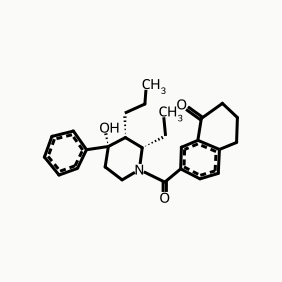 CCC[C@@H]1[C@H](CC)N(C(=O)c2ccc3c(c2)C(=O)CCC3)CC[C@@]1(O)c1ccccc1